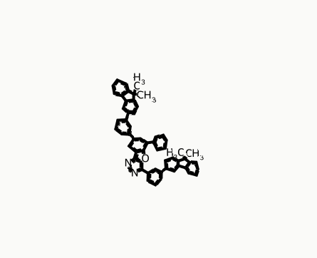 CC1(C)c2ccccc2-c2cc(-c3cccc(-c4cc(-c5ccccc5)c5oc6c(-c7cccc(-c8ccc9c(c8)-c8ccccc8C9(C)C)c7)ncnc6c5c4)c3)ccc21